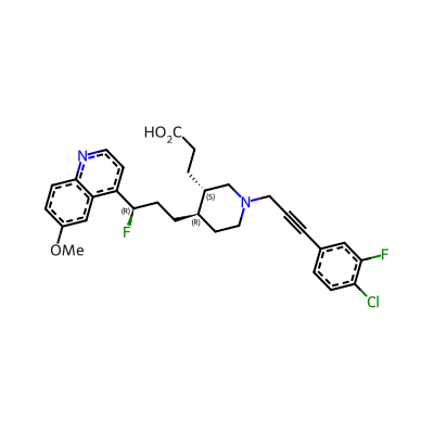 COc1ccc2nccc([C@H](F)CC[C@@H]3CCN(CC#Cc4ccc(Cl)c(F)c4)C[C@H]3CCC(=O)O)c2c1